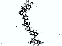 CCc1nc(-c2cccc3cc(-c4ccc(C(=O)NCc5ccnc(-c6cccc7c6CN(C6CCC(=O)NC6=O)C7=O)c5)nc4)ncc23)c2n1CCN(C(C)=O)C2